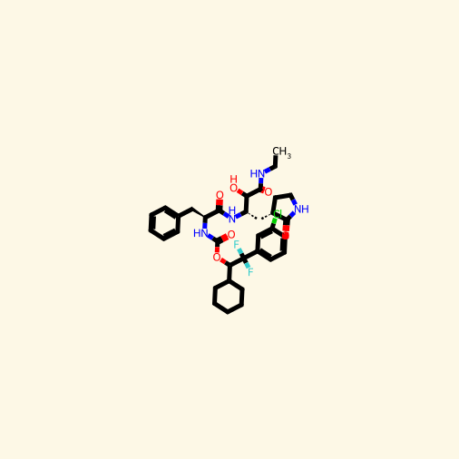 CCNC(=O)C(O)[C@H](C[C@@H]1CCNC1=O)NC(=O)[C@H](Cc1ccccc1)NC(=O)OC(C1CCCCC1)C(F)(F)c1cccc(Cl)c1